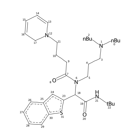 CCCCN(CCCC)CCCN(C(=O)CCCN1C=CC=CC1)C(C(=O)NC(C)(C)C)c1cc2ccccc2s1